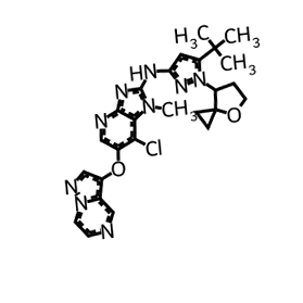 Cn1c(Nc2cc(C(C)(C)C)n(C3CCOC34CC4)n2)nc2ncc(Oc3cnn4ccncc34)c(Cl)c21